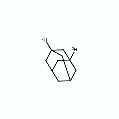 [2H]C12CC3CC(C1)CC([2H])(C3)C2